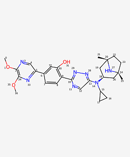 COc1ncc(-c2ccc(-c3ncc(N(C4CC4)[C@H]4C[C@]5(C)CC[C@](C)(C4)N5)nn3)c(O)c2)nc1OC